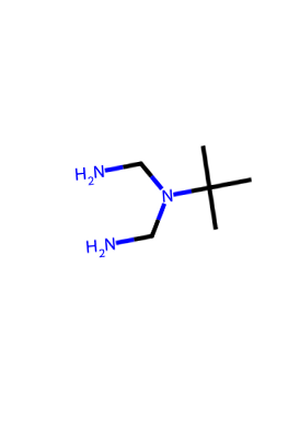 CC(C)(C)N(CN)CN